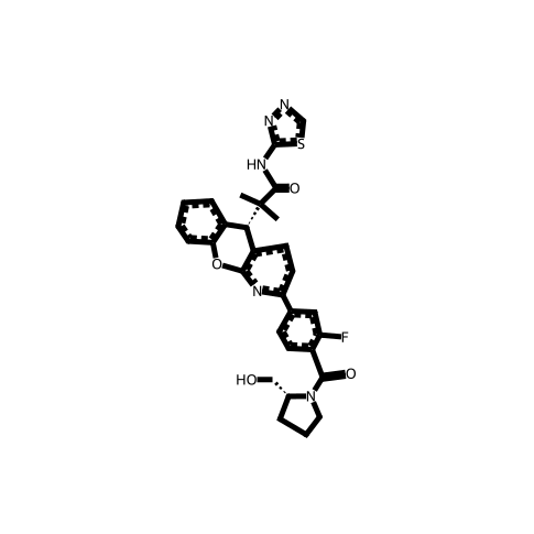 CC(C)(C(=O)Nc1nncs1)[C@H]1c2ccccc2Oc2nc(-c3ccc(C(=O)N4CCC[C@@H]4CO)c(F)c3)ccc21